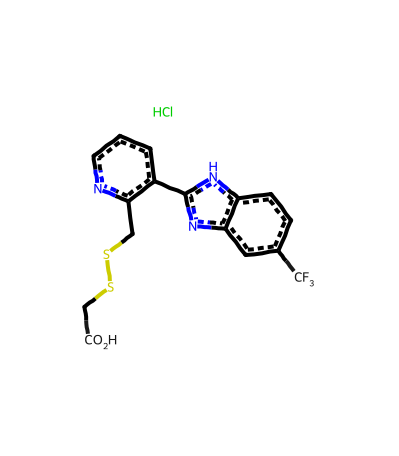 Cl.O=C(O)CSSCc1ncccc1-c1nc2cc(C(F)(F)F)ccc2[nH]1